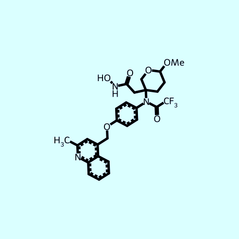 COC1CCC(CC(=O)NO)(N(C(=O)C(F)(F)F)c2ccc(OCc3cc(C)nc4ccccc34)cc2)CO1